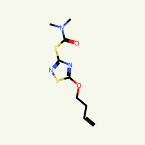 C=CCCOc1nc(SC(=O)N(C)C)ns1